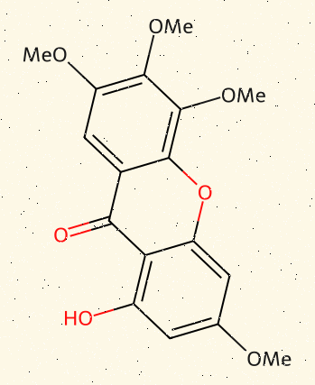 COc1cc(O)c2c(=O)c3cc(OC)c(OC)c(OC)c3oc2c1